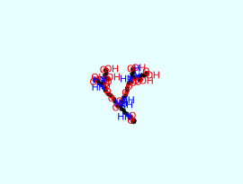 CC(C)(C)OC(=O)NCCCCC(NC(=O)NCCOCCOCC(=O)NC(CCC(=O)O)C(=O)NC(CCC(=O)O)C(=O)O)C(=O)NCCOCCOCC(=O)NC(CCC(=O)O)C(=O)NC(CCC(=O)O)C(=O)O